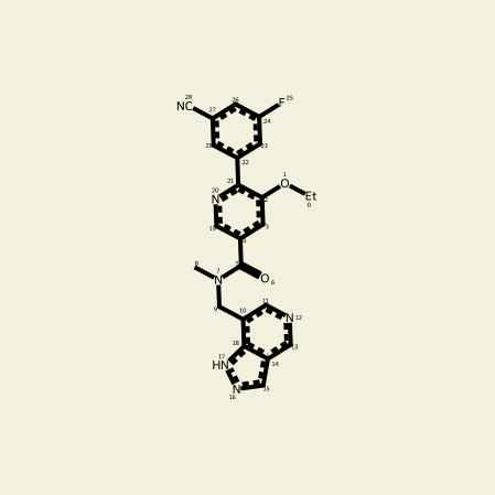 CCOc1cc(C(=O)N(C)Cc2cncc3cn[nH]c23)cnc1-c1cc(F)cc(C#N)c1